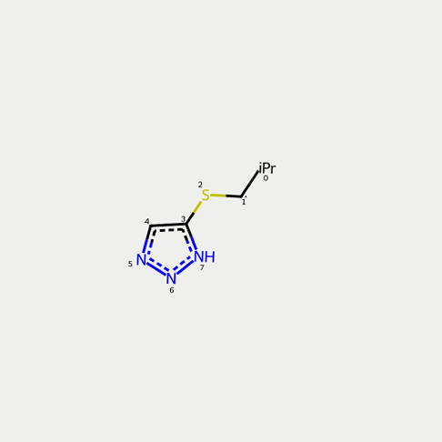 CC(C)[CH]Sc1cnn[nH]1